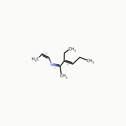 C\C=C/N=C(C)\C(=C\CC)CC